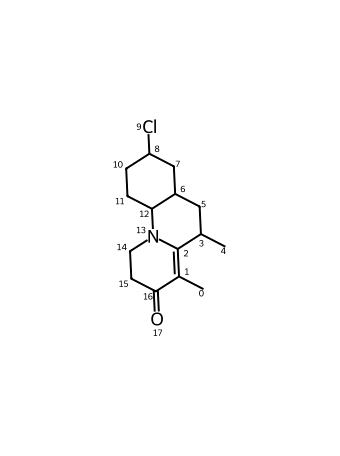 CC1=C2C(C)CC3CC(Cl)CCC3N2CCC1=O